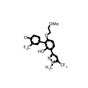 COCCOc1ccc(-c2cc(C(F)(F)F)n(C)n2)c(O)c1-c1ccc(Cl)c(C(F)(F)F)c1